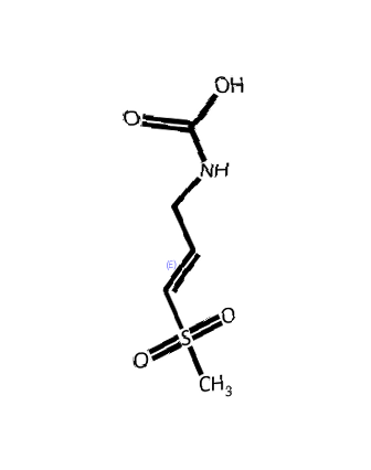 CS(=O)(=O)/C=C/CNC(=O)O